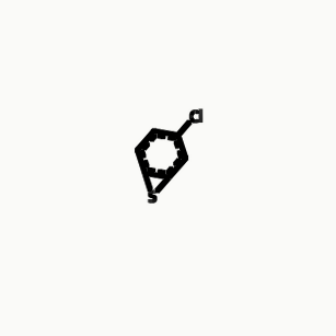 Clc1ccc2c(c1)S2